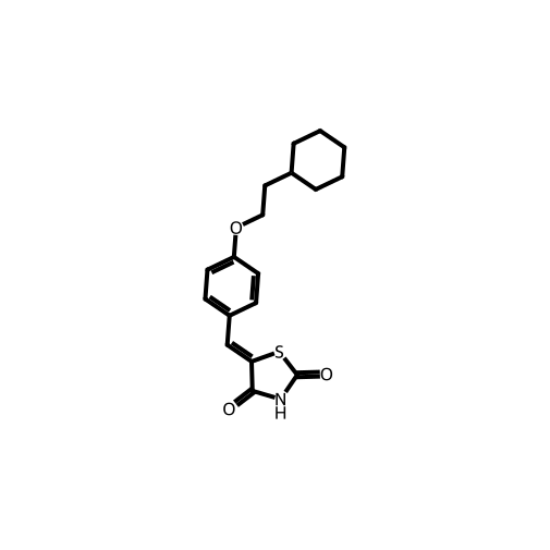 O=C1NC(=O)/C(=C/c2ccc(OCCC3CCCCC3)cc2)S1